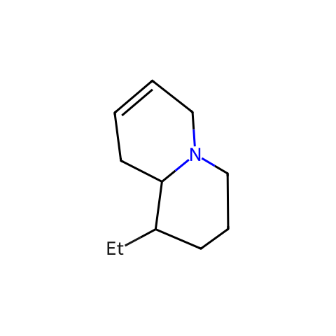 CCC1CCCN2CC=CCC12